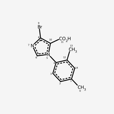 Cc1ccc(-n2cnc(Br)c2C(=O)O)c(C)c1